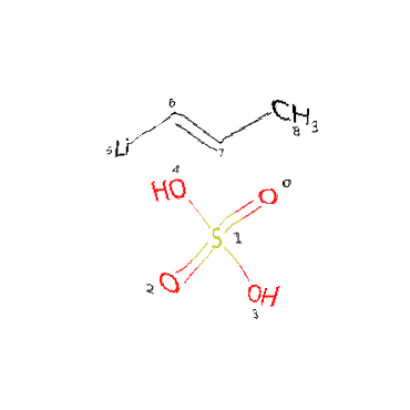 O=S(=O)(O)O.[Li][CH]=CC